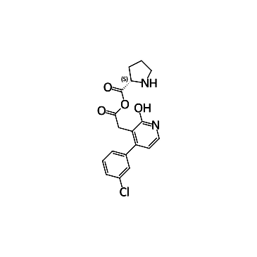 O=C(Cc1c(-c2cccc(Cl)c2)ccnc1O)OC(=O)[C@@H]1CCCN1